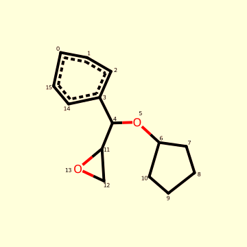 c1ccc(C(OC2CCCC2)C2CO2)cc1